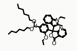 CCCCCCON(OCCCCCC)c1ccc(C2(c3c(C)n(CC)c4ccccc34)OC(=O)c3cccnc32)c(OCC)c1